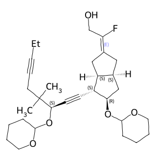 CCC#CCC(C)(C)[C@@H](C#C[C@@H]1[C@H]2C/C(=C(/F)CO)C[C@H]2C[C@H]1OC1CCCCO1)OC1CCCCO1